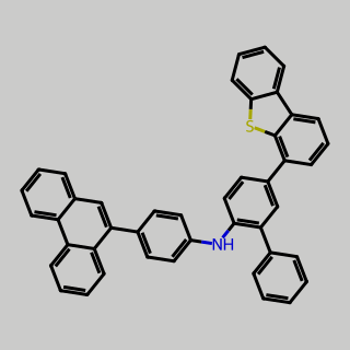 c1ccc(-c2cc(-c3cccc4c3sc3ccccc34)ccc2Nc2ccc(-c3cc4ccccc4c4ccccc34)cc2)cc1